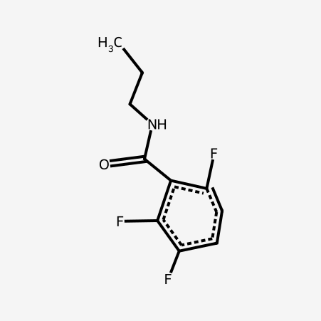 CCCNC(=O)c1c(F)ccc(F)c1F